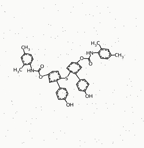 Cc1ccc(NC(=O)Oc2ccc(Sc3ccc(OC(=O)Nc4ccc(C)cc4C)cc3-c3ccc(O)cc3)c(-c3ccc(O)cc3)c2)c(C)c1